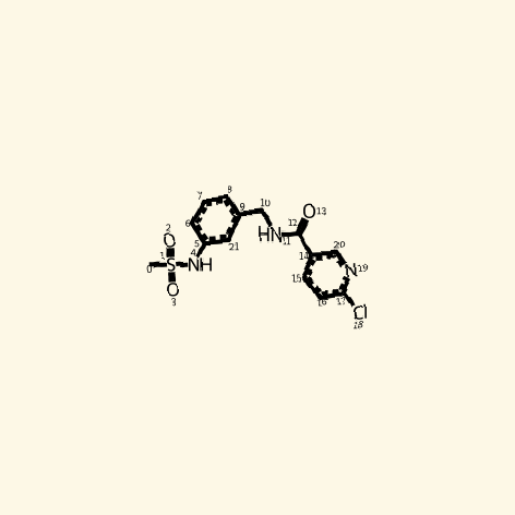 CS(=O)(=O)Nc1cccc(CNC(=O)c2ccc(Cl)nc2)c1